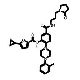 Cc1ccccc1N1CCN(c2ccc(C(=O)NCCCN3CCCC3=O)cc2NC(=O)c2ccc(C3CC3)o2)CC1